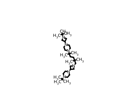 CC(C)(CCC(C)(C)N1CCN(C2CN(C(C)(C)C)C2)CC1)CN1CC(N2CCN(C(C)(C)C)CC2)C1